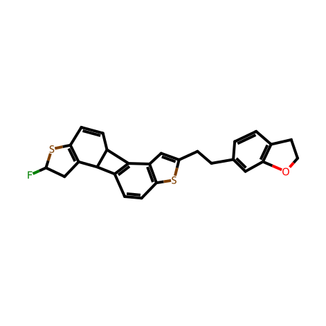 FC1CC2=C(C=CC3c4c(ccc5sc(CCc6ccc7c(c6)OCC7)cc45)C23)S1